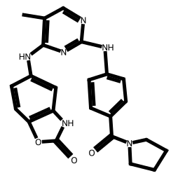 Cc1cnc(Nc2ccc(C(=O)N3CCCC3)cc2)nc1Nc1ccc2oc(=O)[nH]c2c1